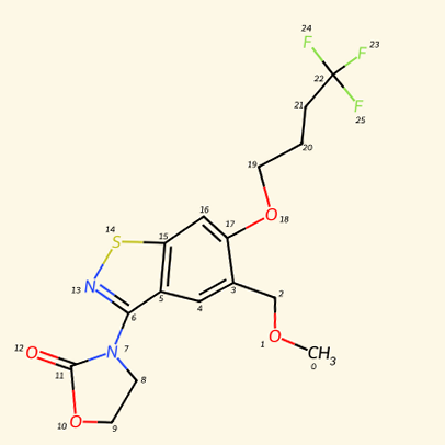 COCc1cc2c(N3CCOC3=O)nsc2cc1OCCCC(F)(F)F